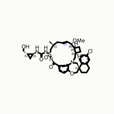 CO[C@H]1/C=C/C[C@H](C)CS(=O)(NC(=O)N[C@H]2C[C@@H]2CO)=NC(=O)c2ccc3c(c2)N(C[C@@H]2CC[C@H]21)C[C@@]1(CCCc2cc(Cl)ccc21)CO3